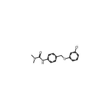 CN(C)C(=O)Nc1ccc(COc2cccc(Cl)c2)cc1